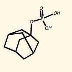 O=P(O)(O)OC12CC3CC(CC(C3)C1)C2